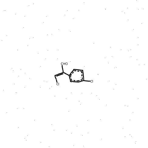 O=C/C(=C/Cl)c1ccc(Cl)cc1